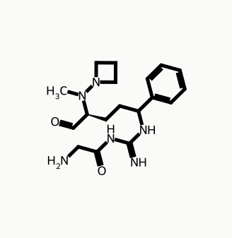 CN([C@H](C=O)CCC(NC(=N)NC(=O)CN)c1ccccc1)N1CCC1